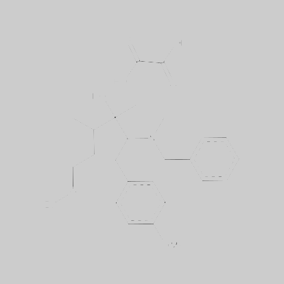 CCOCCC(C)C(C)(O)C(Cc1ccc(OC)cc1)N(C)Cc1ccccc1.O=C(O)C(=O)O